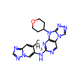 Cc1cc2ncnn2cc1Nc1ncc2c(n1)n(C1CCOCC1)c1nncn21